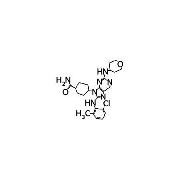 Cc1cccc(Cl)c1Nc1nc2cnc(NC3CCOCC3)nc2n1[C@H]1CC[C@H](C(N)=O)CC1